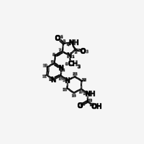 CN1C(=O)NC(=O)C1=Cc1ccnc(N2CCC(NC(=O)O)CC2)n1